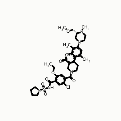 CCOc1cc(C(=O)N2CCc3c(c(=O)oc4c(C)c(N5CCN(C)[C@@H](COC)C5)cc(C)c34)C2)c(Cl)cc1C(=O)NS(=O)(=O)N1CCCC1